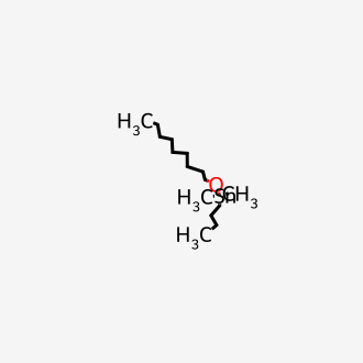 CCCCCCCCC[O][Sn]([CH3])([CH3])[CH2]CCC